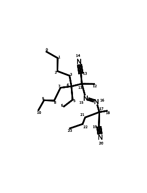 CCCCC(CC)(CCCC)C(C)(C#N)N=NC(C)(C#N)CCC